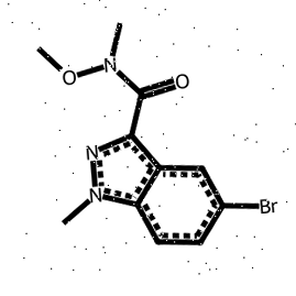 CON(C)C(=O)c1nn(C)c2ccc(Br)cc12